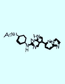 CC(=O)N[C@H]1CC[C@@H](Nc2ncc3c(-c4ccc5nccn5n4)c[nH]c3n2)CC1